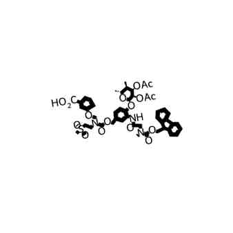 CC(=O)O[C@H]1[C@H](Oc2ccc(COC(=O)N(CCS(C)(=O)=O)COc3cccc(C(=O)O)c3)cc2NC(=O)CN(C)C(=O)OCC2c3ccccc3-c3ccccc32)O[C@H](C)[C@@H](C)[C@@H]1OC(C)=O